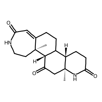 C[C@]12CCNC(=O)C=C1CCC1[C@@H]2C(=O)C[C@]2(C)NC(=O)CC[C@@H]12